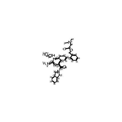 CN(C)CC(=O)OCc1ccccc1-c1ccc2nc(N)nc(C(=O)N3Cc4ccccc4C3)c2c1.Cl.Cl